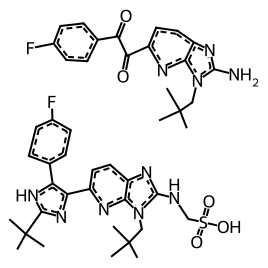 CC(C)(C)Cn1c(N)nc2ccc(C(=O)C(=O)c3ccc(F)cc3)nc21.CC(C)(C)Cn1c(NCS(=O)(=O)O)nc2ccc(-c3nc(C(C)(C)C)[nH]c3-c3ccc(F)cc3)nc21